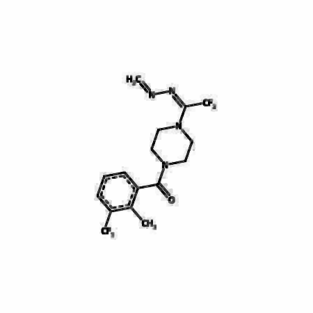 C=N/N=C(\N1CCN(C(=O)c2cccc(C(F)(F)F)c2C)CC1)C(F)(F)F